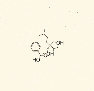 CC(C)CCC(CO)(CO)C(C)C.O=C(O)c1ccccc1